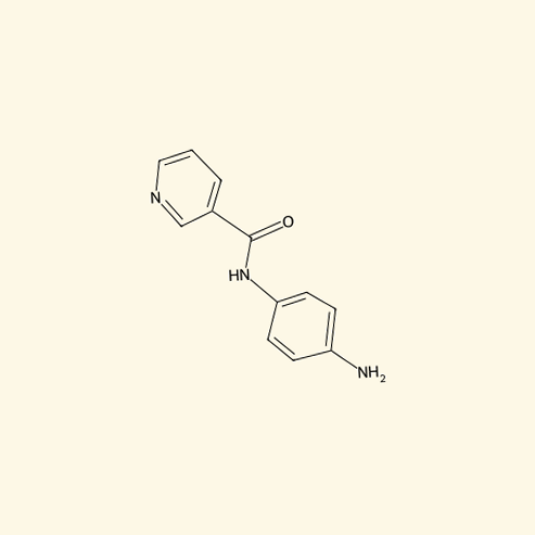 Nc1ccc(NC(=O)c2cccnc2)cc1